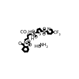 NO.O=C(O)[C@@H](CCCN1C(=O)c2ccccc2S1(=O)=O)NS(=O)(=O)c1ccc(S(=O)(=O)c2ccc(C(F)(F)F)cn2)s1